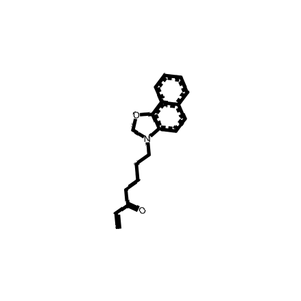 C=CC(=O)CCCCN1COc2c1ccc1ccccc21